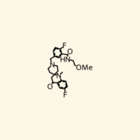 COCCNC(=O)c1cc(CN2CCC3(CC2)CC(=O)c2cc(F)ccc2N3C)ccc1F